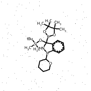 CC1(C)OB(C2(O[Si](C)(C)C(C)(C)C)NN(C3CCCCO3)c3ccccc32)OC1(C)C